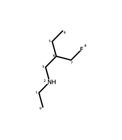 CCNCC(CC)CF